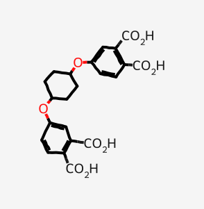 O=C(O)c1ccc(OC2CCC(Oc3ccc(C(=O)O)c(C(=O)O)c3)CC2)cc1C(=O)O